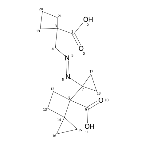 O=C(O)C1(CN=NC2(C3(C(=O)O)CCC34CC4)CC2)CCC1